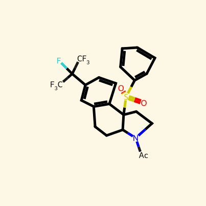 CC(=O)N1CCC2(S(=O)(=O)c3ccccc3)c3ccc(C(F)(C(F)(F)F)C(F)(F)F)cc3CCC12